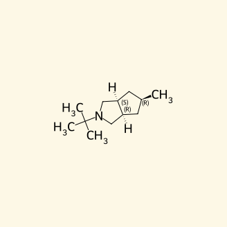 C[C@@H]1C[C@@H]2CN(C(C)(C)C)C[C@@H]2C1